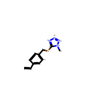 C=Cc1ccc(CSc2nnnn2C)cc1